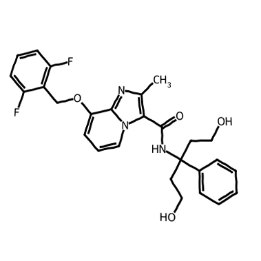 Cc1nc2c(OCc3c(F)cccc3F)cccn2c1C(=O)NC(CCO)(CCO)c1ccccc1